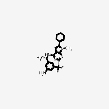 C[C@@H](Nc1ncnc2c1cc(C1=CCCCC1)n2C)c1cc(N)cc(C(F)(F)F)c1